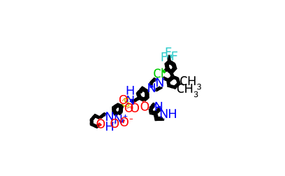 CC1(C)CCC(CN2CCN(c3ccc(C(=O)NS(=O)(=O)c4ccc(NCC5CCCCO5)c([N+](=O)[O-])c4)c(Oc4cnc5[nH]ccc5c4)c3)CC2)=C(c2ccc(C(F)(F)F)cc2Cl)C1